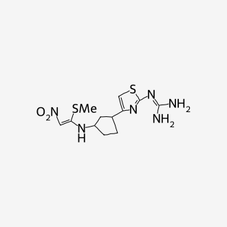 CS/C(=C\[N+](=O)[O-])NC1CCC(c2csc(N=C(N)N)n2)C1